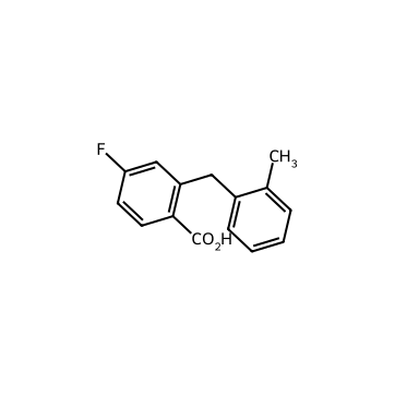 Cc1ccccc1Cc1cc(F)ccc1C(=O)O